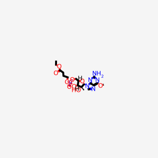 CCOC(=O)CCCO[P@]1(=O)OC[C@H]2O[C@@H](n3cnc4c(OC)nc(N)nc43)[C@](C)(O)[C@@H]2O1